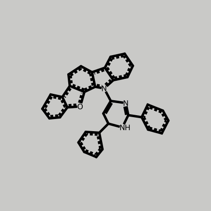 C1=C(n2c3ccccc3c3ccc4c5ccccc5oc4c32)N=C(c2ccccc2)NC1c1ccccc1